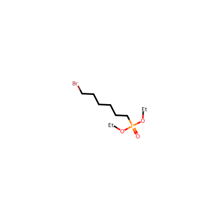 CCOP(=O)(CCCCCCBr)OCC